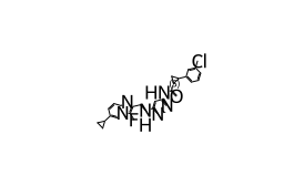 O=C(Nc1cc(NCc2nc3ccc(C4CC4)cn3c2F)ncn1)[C@H]1CC1c1cccc(Cl)c1